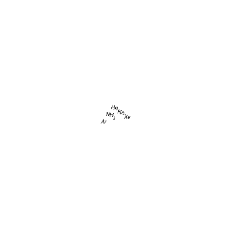 N.[Ar].[He].[Ne].[Xe]